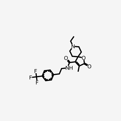 CCN1CCC2(CC1)OC(=O)C(C)=C2C(=O)NCCc1ccc(C(F)(F)F)cc1